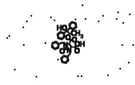 CC(OC(=O)[C@H]1[C@@H](C(=O)O)N(Cc2ccccc2)C(=O)N1Cc1ccccc1)C(O)(c1ccccc1)c1ccccc1